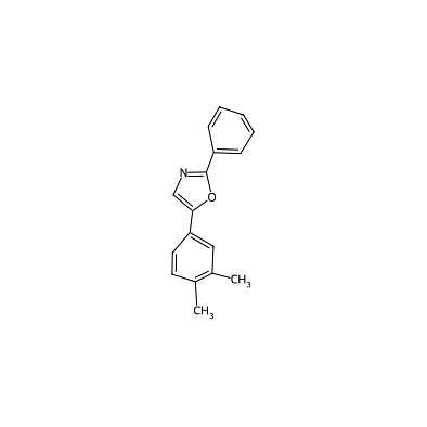 Cc1ccc(-c2cnc(-c3ccccc3)o2)cc1C